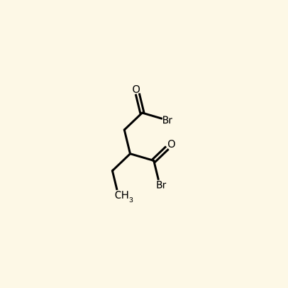 CCC(CC(=O)Br)C(=O)Br